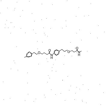 CNC(=O)CCOCCCc1ccc(NC(=O)CCCOCCc2ccc(C)cc2)cc1